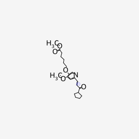 COC(=O)CCCCCOc1cnc(/C=C/C(=O)C2CCCC2)cc1OC